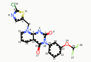 O=c1nc2n(Cc3cnc(Cl)s3)cccc-2c(=O)n1-c1cccc(OC(F)F)c1